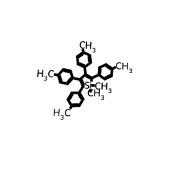 Cc1ccc(C2=C(c3ccc(C)cc3)[Si](C)(C)C(c3ccc(C)cc3)=C2c2ccc(C)cc2)cc1